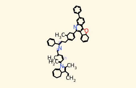 C=CC1=C(C)N(C(=C)/C=C\C(=C)/C=N/C(=C\CC2=CC=C(c3nc4cc(-c5ccccc5)ccc4c4c3C3=CC=CCC3O4)CC2C)C2C=CC=CC2)C2=CC=CCCC21